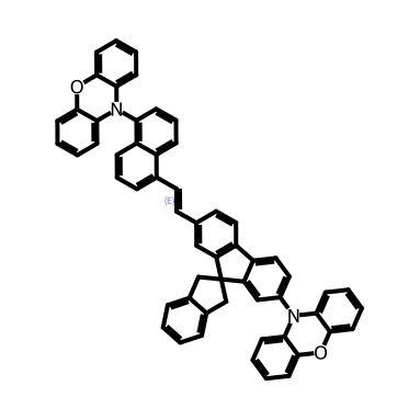 C(=C\c1cccc2c(N3c4ccccc4Oc4ccccc43)cccc12)/c1ccc2c(c1)C1(Cc3ccccc3C1)c1cc(N3c4ccccc4Oc4ccccc43)ccc1-2